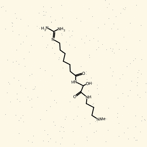 CNCCCNC(=O)C(O)NC(=O)CCCCCCN=C(N)N